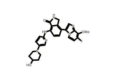 COc1c(F)ccn2c(-c3ccc(Nc4ccc(N5CCC(O)CC5)cn4)c4c3CNC4=O)cnc12